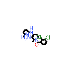 Cc1cccc(NC2=C(N)C(C)N(C(=O)c3cccc(Cl)c3Cl)CC2)n1